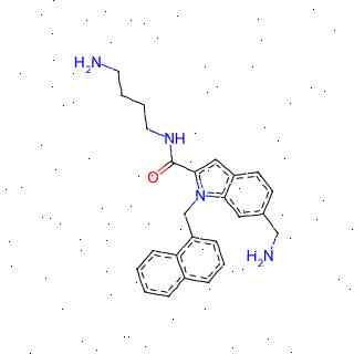 NCCCCNC(=O)c1cc2ccc(CN)cc2n1Cc1cccc2ccccc12